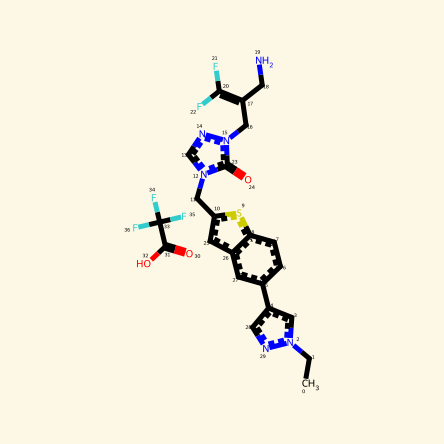 CCn1cc(-c2ccc3sc(Cn4cnn(CC(CN)=C(F)F)c4=O)cc3c2)cn1.O=C(O)C(F)(F)F